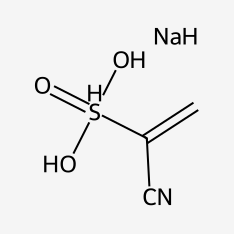 C=C(C#N)[SH](=O)(O)O.[NaH]